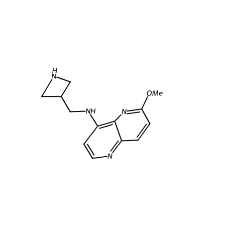 COc1ccc2nccc(NCC3CNC3)c2n1